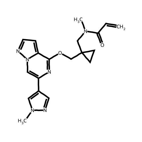 C=CC(=O)N(C)CC1(COc2nc(-c3cnn(C)c3)cn3nccc23)CC1